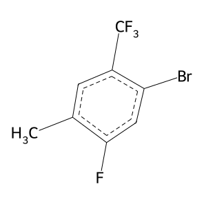 Cc1cc(C(F)(F)F)c(Br)cc1F